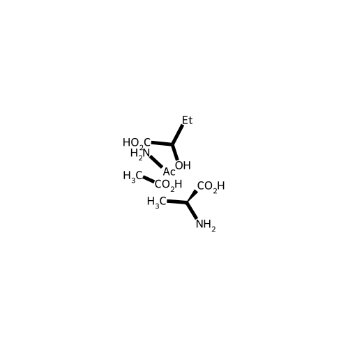 CC(=O)O.CC(N)=O.CCC(O)C(=O)O.C[C@H](N)C(=O)O